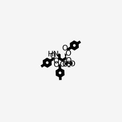 Cc1ccc(C(=O)OC[C@@H](OS(C)(=O)=O)[C@@H](OC(=O)c2ccc(C)cc2)[C@@H](C=N)OC(=O)c2ccc(C)cc2)cc1